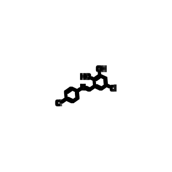 Oc1cc(Cl)cc(C=Nc2ccc(Cl)cc2)c1O